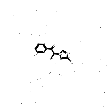 O=C(c1ccccc1)C(Cl)n1cnc(Cl)c1